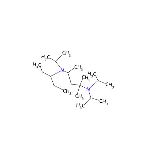 CCC(CC)N(C(C)C)C(C)CC(C)(C)N(C(C)C)C(C)C